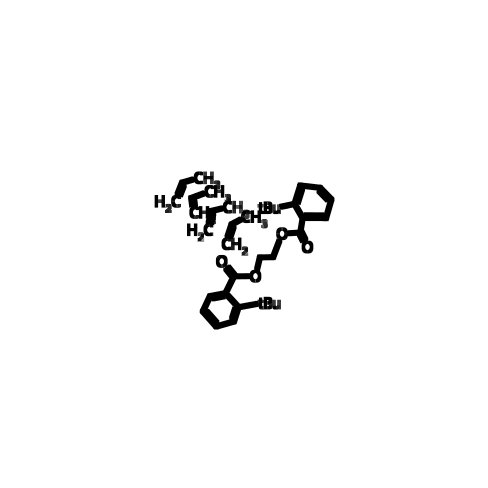 C=CC.C=CC.C=CC.C=CC.CC(C)(C)c1ccccc1C(=O)OCCOC(=O)c1ccccc1C(C)(C)C